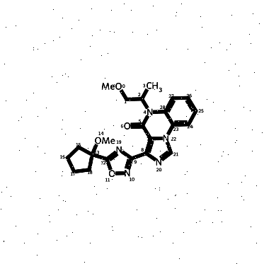 COCC(C)n1c(=O)c2c(-c3noc(C4(OC)CCCC4)n3)ncn2c2ccccc21